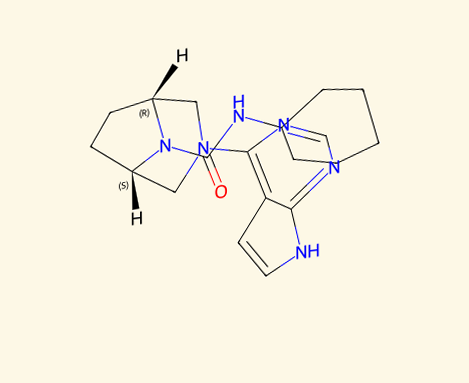 O=C(NC1CCCCC1)N1[C@@H]2CC[C@H]1CN(c1ncnc3[nH]ccc13)C2